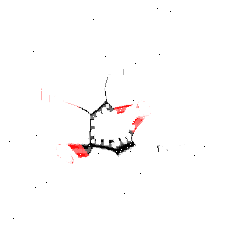 Cc1occc(=O)c1O.[NaH]